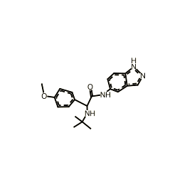 COc1ccc(C(NC(C)(C)C)C(=O)Nc2ccc3[nH]ncc3c2)cc1